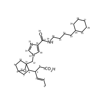 CC=CC(CC(=O)O)C1CC2CCC1(Cn1cnc(C(=O)NCCCCC3CCCCC3)c1)O2